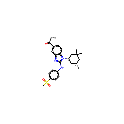 COC(=O)c1ccc2c(c1)nc(Nc1ccc(S(C)(=O)=O)cc1)n2[C@H]1C[C@@H](C)CC(C)(C)C1